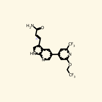 NC(=O)/C=C/c1c[nH]c2ncc(-c3cc(OCC(F)(F)F)nc(C(F)(F)F)c3)cc12